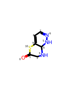 O=C1CNC2NN=[C]C=C2S1